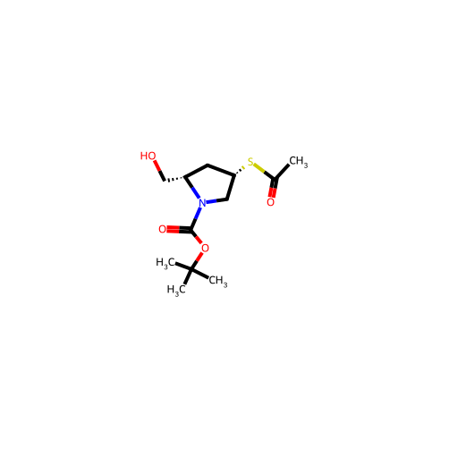 CC(=O)S[C@H]1C[C@@H](CO)N(C(=O)OC(C)(C)C)C1